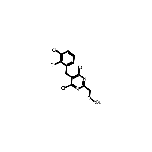 CCc1nc(COC(C)(C)C)nc(Cl)c1Cc1cccc(Cl)c1Cl